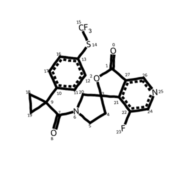 O=C1OC2(CCN(C(=O)C3(c4ccc(SC(F)(F)F)cc4)CC3)C2)c2c(F)cncc21